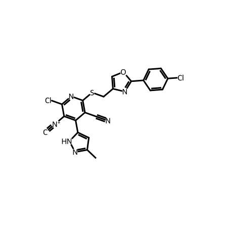 [C-]#[N+]c1c(Cl)nc(SCc2coc(-c3ccc(Cl)cc3)n2)c(C#N)c1-c1cc(C)n[nH]1